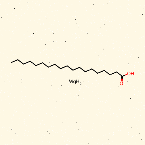 CCCCCCCCCCCCCCCCCCC(=O)O.[MgH2]